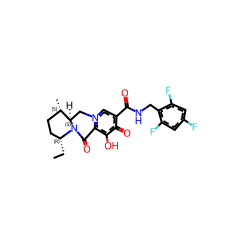 CC[C@@H]1CC[C@H](C)[C@H]2Cn3cc(C(=O)NCc4c(F)cc(F)cc4F)c(=O)c(O)c3C(=O)N12